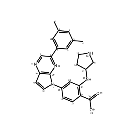 Cc1cc(C)cc(-c2cnc3ccn(-c4ccc(C(=O)O)c(NC5CCNC5)c4)c3n2)c1